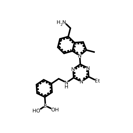 CCc1nc(NCc2cccc(B(O)O)c2)nc(-n2c(C)cc3c(CN)cccc32)n1